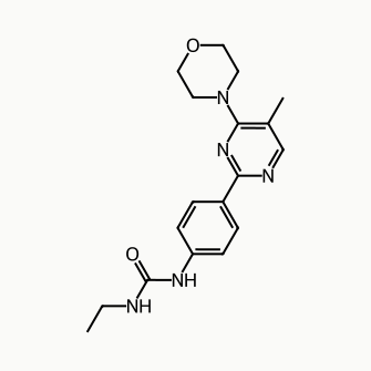 CCNC(=O)Nc1ccc(-c2ncc(C)c(N3CCOCC3)n2)cc1